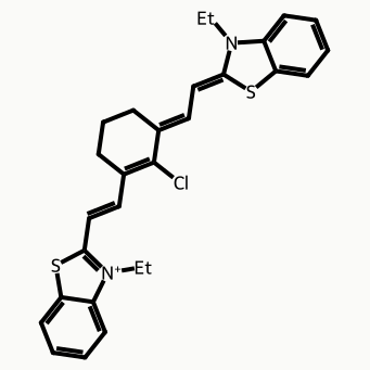 CCN1/C(=C/C=C2\CCCC(/C=C/c3sc4ccccc4[n+]3CC)=C2Cl)Sc2ccccc21